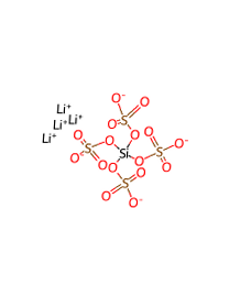 O=S(=O)([O-])O[Si](OS(=O)(=O)[O-])(OS(=O)(=O)[O-])OS(=O)(=O)[O-].[Li+].[Li+].[Li+].[Li+]